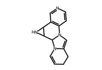 C1=CN2C(=CN3c4ccncc4C4NC4C23)CC1